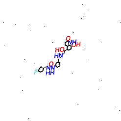 O=C(NCc1ccc(F)cc1)Nc1cccc(CCNC[C@@H](O)c2ccc(O)c3[nH]c(=O)ccc23)c1